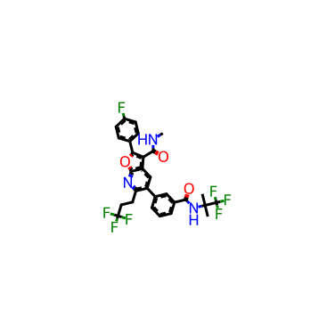 CNC(=O)c1c(-c2ccc(F)cc2)oc2nc(CCC(F)(F)F)c(-c3cccc(C(=O)NC(C)(C)C(F)(F)F)c3)cc12